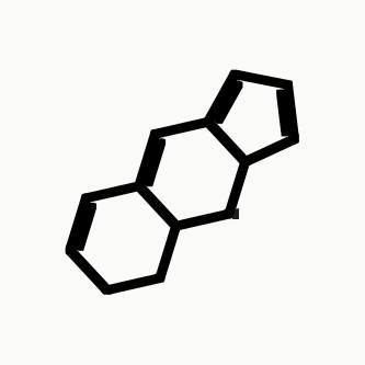 [C]1C2C=CC=C2C=C2C=CCCC12